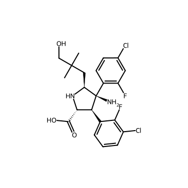 CC(C)(CO)C[C@@H]1N[C@@H](C(=O)O)[C@H](c2cccc(Cl)c2F)[C@@]1(N)c1ccc(Cl)cc1F